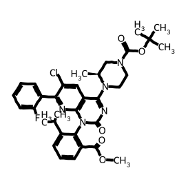 COC(=O)c1cccc(C(C)C)c1-n1c(=O)nc(N2CCN(C(=O)OC(C)(C)C)C[C@@H]2C)c2cc(Cl)c(-c3ccccc3F)nc21